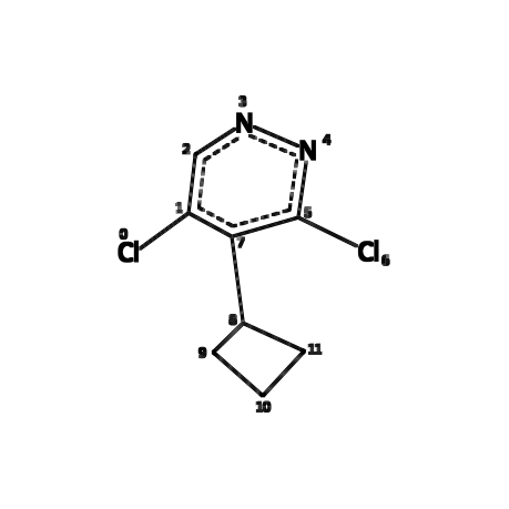 Clc1cnnc(Cl)c1C1CCC1